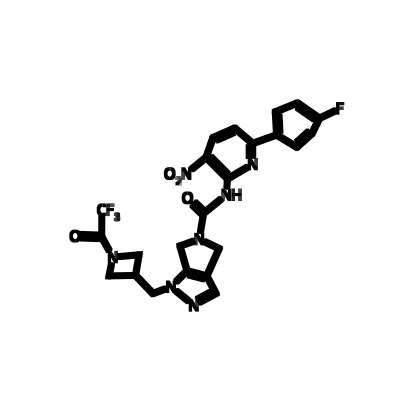 O=C(Nc1nc(-c2ccc(F)cc2)ccc1[N+](=O)[O-])N1Cc2cnn(CC3CN(C(=O)C(F)(F)F)C3)c2C1